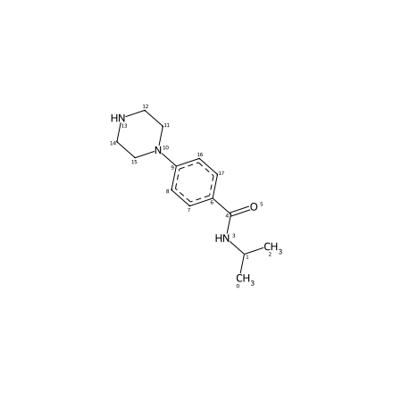 CC(C)NC(=O)c1ccc(N2CCNCC2)cc1